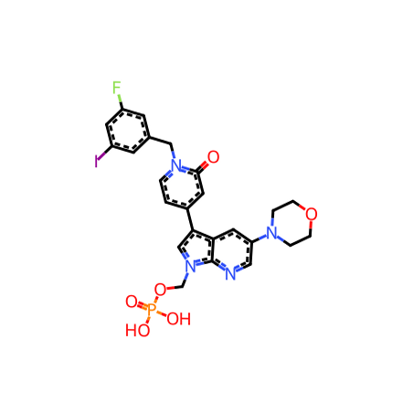 O=c1cc(-c2cn(COP(=O)(O)O)c3ncc(N4CCOCC4)cc23)ccn1Cc1cc(F)cc(I)c1